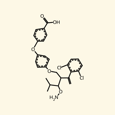 C=C(c1c(Cl)cccc1Cl)C(COc1ccc(Oc2ccc(C(=O)O)cc2)cc1)C(ON)C(C)C